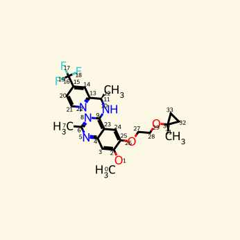 COc1cc2nc(C)nc(N[C@H](C)c3cc(C(F)(F)F)ccn3)c2cc1OCCOC1(C)CC1